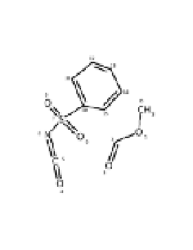 COC=O.O=C=NS(=O)(=O)c1ccccc1